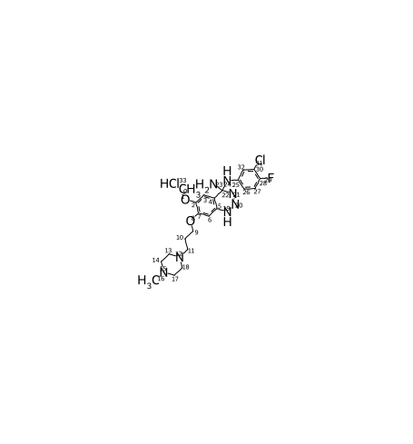 COc1cc2c(cc1OCCCN1CCN(C)CC1)NN=NC2(N)Nc1ccc(F)c(Cl)c1.Cl